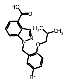 CC(C)COc1ccc(Br)cc1Cn1ncc2c(C(=O)O)cccc21